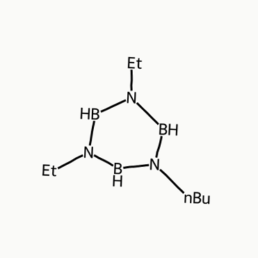 CCCCN1BN(CC)BN(CC)B1